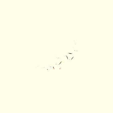 CCCCC(C)c1ccc2c(c1)SC(CO)/C(=C(/C=O)CC(=O)NC(C)(P)CCCC)S2